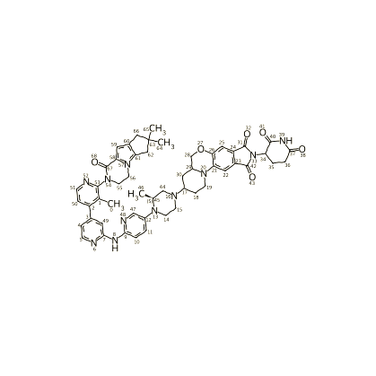 Cc1c(-c2ccnc(Nc3ccc(N4CCN(C5CCN6c7cc8c(cc7OCC6C5)C(=O)N(C5CCC(=O)NC5=O)C8=O)C[C@@H]4C)cn3)c2)ccnc1N1CCn2c(cc3c2CC(C)(C)C3)C1=O